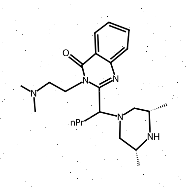 CCCC(c1nc2ccccc2c(=O)n1CCN(C)C)N1C[C@@H](C)N[C@@H](C)C1